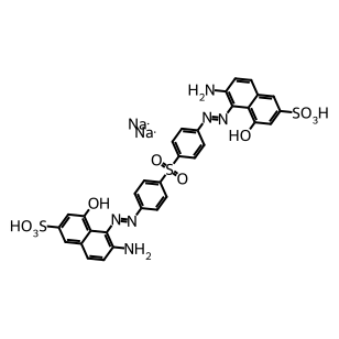 Nc1ccc2cc(S(=O)(=O)O)cc(O)c2c1N=Nc1ccc(S(=O)(=O)c2ccc(N=Nc3c(N)ccc4cc(S(=O)(=O)O)cc(O)c34)cc2)cc1.[Na].[Na]